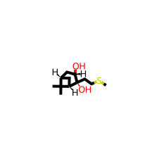 CSCC[C@@]1(O)[C@@H]2C[C@H](C[C@@H]1O)C2(C)C